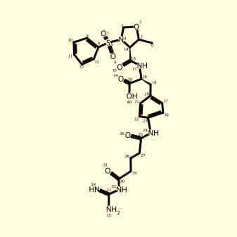 CC1OCN(S(=O)(=O)c2ccccc2)[C@@H]1C(=O)N[C@@H](Cc1ccc(NC(=O)CCCC(=O)NC(=N)N)cc1)C(=O)O